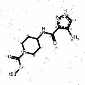 CC(C)(C)OC(=O)N1CCC(NC(=O)c2n[nH]cc2N)CC1